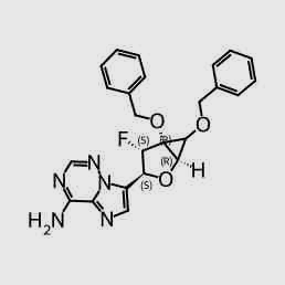 Nc1ncnn2c([C@@H]3O[C@@H]4C(OCc5ccccc5)[C@]4(OCc4ccccc4)[C@H]3F)cnc12